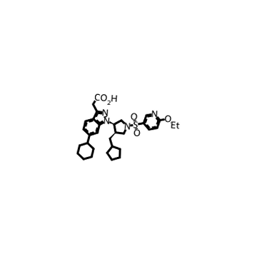 CCOc1ccc(S(=O)(=O)N2C[C@@H](CC3CCCC3)[C@@H](n3nc(CC(=O)O)c4ccc(C5CCCCC5)cc43)C2)cn1